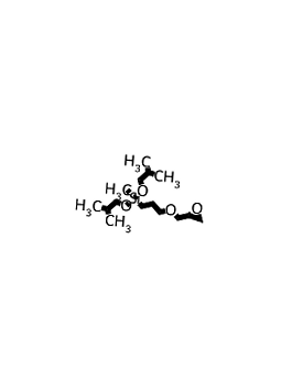 CC(C)CO[Si](C)(CCCOCC1CO1)OCC(C)C